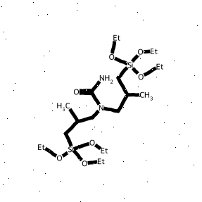 CCO[Si](CC(C)CN(CC(C)C[Si](OCC)(OCC)OCC)C(N)=O)(OCC)OCC